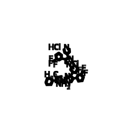 C[C@H](CNc1ncc(-c2cccc(C(F)(F)F)c2)c(-c2ccncc2)n1)[C@@H](N)c1ccccc1.Cl.FC(F)(F)c1cccc(-c2cnc(Cl)nc2-c2ccncc2)c1